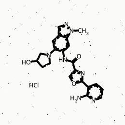 Cl.Cn1ncc2cc(N3CCC(O)C3)c(NC(=O)c3coc(-c4cccnc4N)n3)cc21